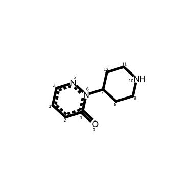 O=c1cccnn1C1CCNCC1